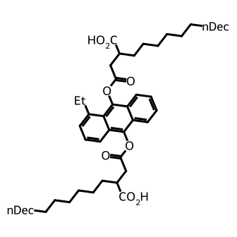 CCCCCCCCCCCCCCCCC(CC(=O)Oc1c2ccccc2c(OC(=O)CC(CCCCCCCCCCCCCCCC)C(=O)O)c2c(CC)cccc12)C(=O)O